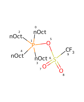 CCCCCCCCP(CCCCCCCC)(CCCCCCCC)(CCCCCCCC)OS(=O)(=O)C(F)(F)F